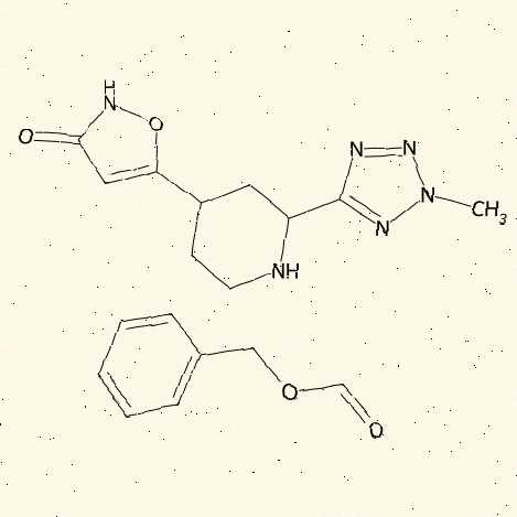 Cn1nnc(C2CC(c3cc(=O)[nH]o3)CCN2)n1.O=COCc1ccccc1